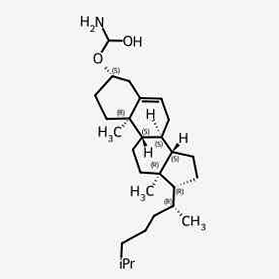 CC(C)CCC[C@@H](C)[C@H]1CC[C@H]2[C@@H]3CC=C4C[C@@H](OC(N)O)CC[C@]4(C)[C@H]3CC[C@]12C